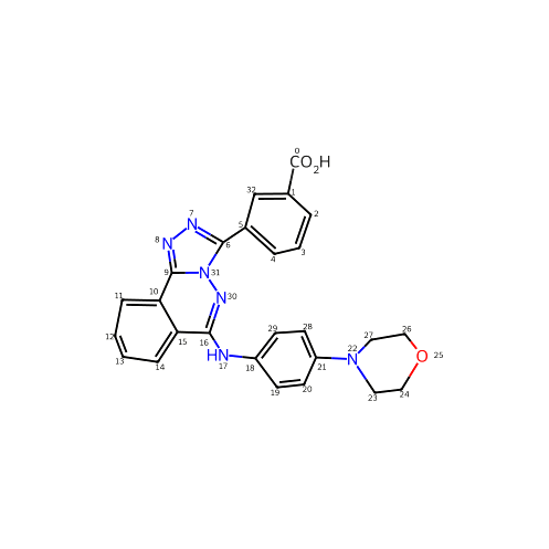 O=C(O)c1cccc(-c2nnc3c4ccccc4c(Nc4ccc(N5CCOCC5)cc4)nn23)c1